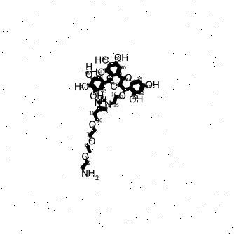 NCCOCCOCCOCCc1cn(CCOC2c3c(O)cc(O)cc3OC(c3cc(O)c(O)c(O)c3)C2OC(=O)c2cc(O)c(O)c(O)c2)nn1